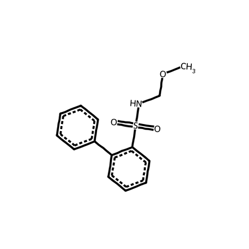 COCNS(=O)(=O)c1ccccc1-c1ccccc1